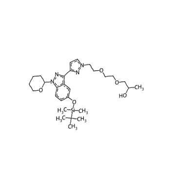 CC(O)COCCOCCn1ccc(-c2nn(C3CCCCO3)c3ccc(O[Si](C)(C)C(C)(C)C)cc23)n1